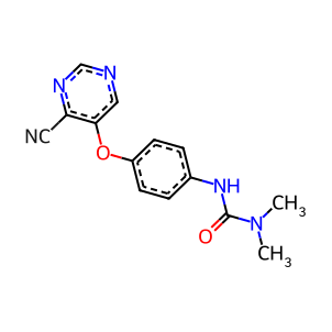 CN(C)C(=O)Nc1ccc(Oc2cncnc2C#N)cc1